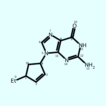 [CH2]CC1C=CC(n2cnc3c(=O)[nH]c(N)nc32)C1